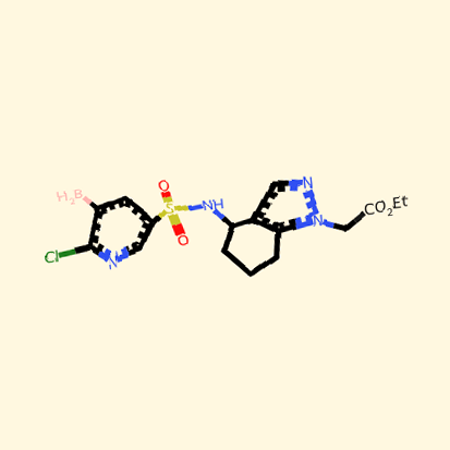 Bc1cc(S(=O)(=O)NC2CCCc3c2cnn3CC(=O)OCC)cnc1Cl